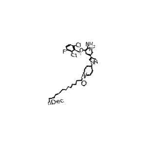 CCCCCCCCCCCCCCCCCCCCCC(=O)N1CCC(n2cc(-c3cnc(N)c(O[C@H](C)c4c(Cl)ccc(F)c4Cl)c3)cn2)CC1